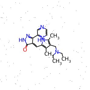 CCN(CC)Cc1c(C)[nH]c(/C=C2/C(=O)NN=C2c2cnccn2)c1C